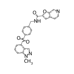 Cn1ncc2c(S(=O)(=O)c3ccc(CNC(=O)c4cc5ccncc5o4)cc3)cccc21